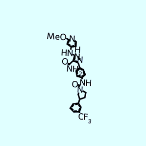 COc1cc(Nc2[nH]nc(-c3ccc(NC(=O)N4CCC(c5cccc(C(F)(F)F)c5)C4)cc3)c2C(N)=O)ccn1